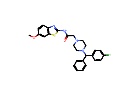 COc1ccc2nc(NC(=O)CN3CCN(C(c4ccccc4)c4ccc(Cl)cc4)CC3)sc2c1